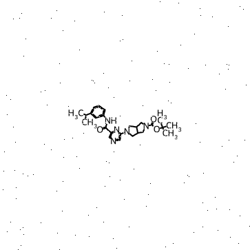 CC(C)c1cccc(NC(=O)c2cncc(N3CC4CN(C(=O)OC(C)(C)C)CC4C3)n2)c1